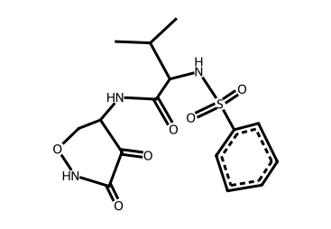 CC(C)C(NS(=O)(=O)c1ccccc1)C(=O)NC1CONC(=O)C1=O